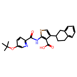 CC(C)(C)Oc1ccc(C(=O)Nc2scc(C3CCc4ccccc4C3)c2C(=O)O)nc1